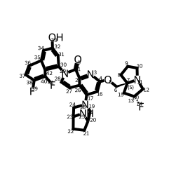 O=c1c2nc(OC[C@@]34CCCN3C[C@H](F)C4)cc(N3CC4CCC(C3)N4)c2ccn1-c1cc(O)cc2ccc(F)c(F)c12